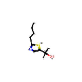 CCCCc1ncc(C(C)(C)O)s1